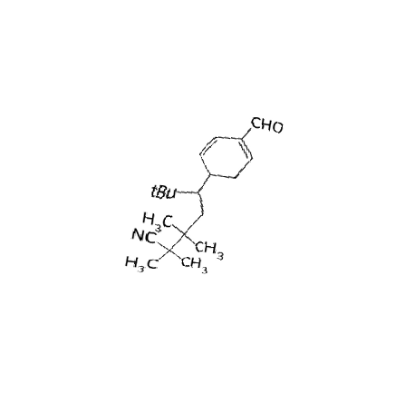 CC(C)(C)C(CC(C)(C)C(C)(C)C#N)C1C=CC(C=O)=CC1